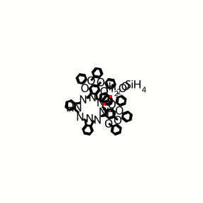 O.O.[SiH4].c1ccc(Oc2c(Oc3ccccc3)c(Oc3ccccc3)c3c(c2Oc2ccccc2)-c2nc-3nc3[nH]c(nc4nc(nc5[nH]c(n2)c2ccccc52)-c2ccccc2-4)c2c(Oc4ccccc4)c(Oc4ccccc4)c(Oc4ccccc4)c(Oc4ccccc4)c32)cc1